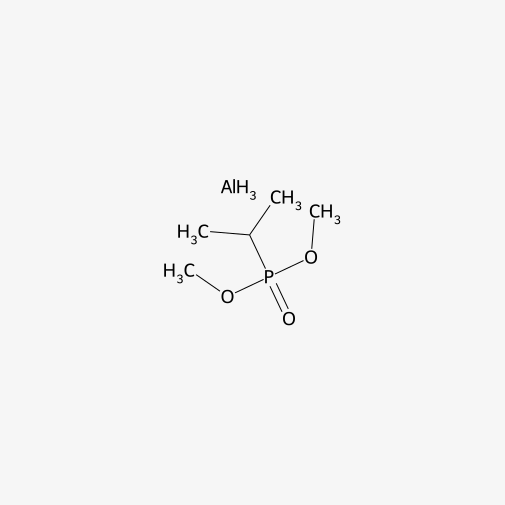 COP(=O)(OC)C(C)C.[AlH3]